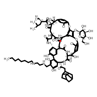 CCCCCCCCNCCNCc1c(O)cc2c(c1O)-c1cc(ccc1O)[C@H]1CC(=O)[C@@H]3NC(=O)[C@H](CC(N)=O)CC(=O)[C@H](NC(=O)[C@H](CC)CC(C)C)[C@H](O)c4ccc(c(Cl)c4)Oc4cc3cc(c4O[C@@H]3O[C@H](CO)[C@@H](O)[C@H](O)[C@H]3O)Oc3ccc(cc3Cl)[C@@H](O)[C@H](NC1=O)C(=O)N[C@@H]2C(=O)CC1C2CC3CC(C2)CC1C3